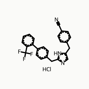 Cl.N#Cc1ccc(Cc2cnc(Cc3ccc(-c4ccccc4C(F)(F)F)cc3)[nH]2)cc1